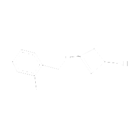 Cc1ccccc1COC1=CC(S)C1